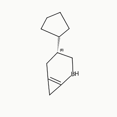 B1C[C@@H](C2CCCC2)CC2=C1C2